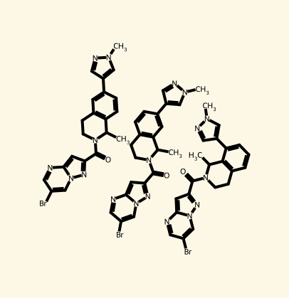 CC1c2c(cccc2-c2cnn(C)c2)CCN1C(=O)c1cc2ncc(Br)cn2n1.CC1c2cc(-c3cnn(C)c3)ccc2CCN1C(=O)c1cc2ncc(Br)cn2n1.CC1c2ccc(-c3cnn(C)c3)cc2CCN1C(=O)c1cc2ncc(Br)cn2n1